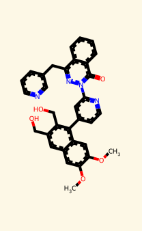 COc1cc2cc(CO)c(CO)c(-c3ccnc(-n4nc(Cc5cccnc5)c5ccccc5c4=O)c3)c2cc1OC